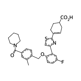 Cc1cc(C(=O)N2CCCCC2)ccc1COc1ccc(F)cc1-c1csc(C2=CCC(C(=O)O)CC2)n1